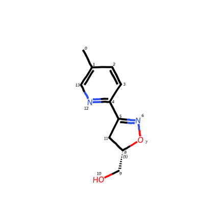 Cc1ccc(C2=NO[C@H](CO)C2)nc1